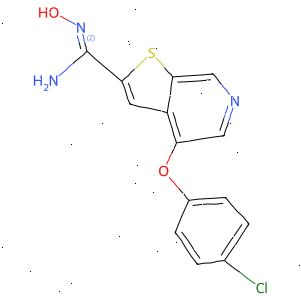 N/C(=N\O)c1cc2c(Oc3ccc(Cl)cc3)cncc2s1